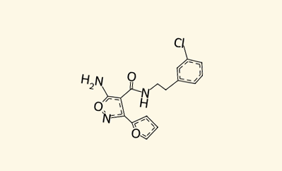 Nc1onc(-c2ccco2)c1C(=O)NCCc1cccc(Cl)c1